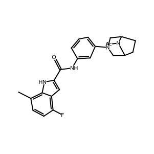 CC(=O)N1C2CCC1CN(c1cccc(NC(=O)c3cc4c(F)ccc(C)c4[nH]3)c1)C2